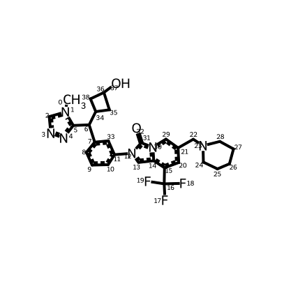 Cn1cnnc1C(c1cccc(-n2cc3c(C(F)(F)F)cc(CN4CCCCC4)cn3c2=O)c1)C1CC(O)C1